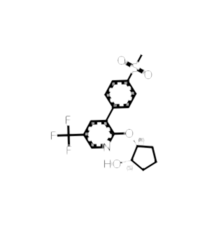 CS(=O)(=O)c1ccc(-c2cc(C(F)(F)F)cnc2O[C@@H]2CCC[C@@H]2O)cc1